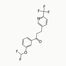 O=C(CCc1ccc(C(F)(F)F)nc1)c1cccc(OC(F)F)c1